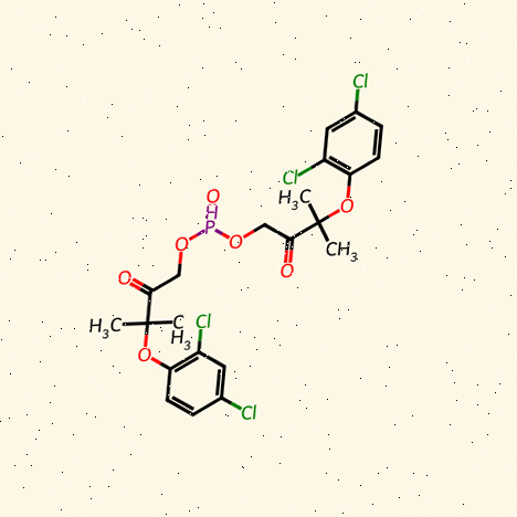 CC(C)(Oc1ccc(Cl)cc1Cl)C(=O)CO[PH](=O)OCC(=O)C(C)(C)Oc1ccc(Cl)cc1Cl